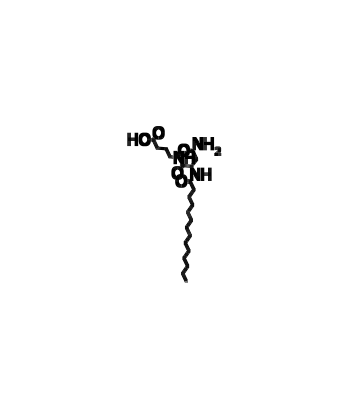 CCCCCCCCCCCCCC(=O)N[C@H](CC(N)=O)C(=O)NCCCC(=O)O